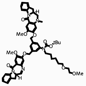 COCCOCCCCCCN(C(=O)OC(C)(C)C)c1cc(COc2cc3c(cc2OC)C(=O)N2c4ccccc4C[C@H]2C=N3)cc(COc2cc3c(cc2OC)C(=O)N2c4ccccc4C[C@H]2CN3C)c1